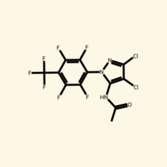 CC(=O)Nc1c(Cl)c(Cl)nn1-c1c(F)c(F)c(C(F)(F)F)c(F)c1F